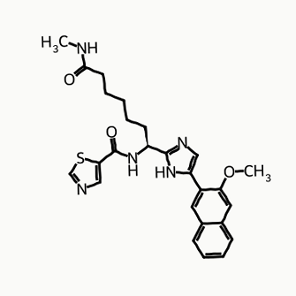 CNC(=O)CCCCC[C@H](NC(=O)c1cncs1)c1ncc(-c2cc3ccccc3cc2OC)[nH]1